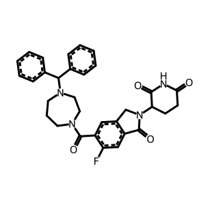 O=C1CCC(N2Cc3cc(C(=O)N4CCCN(C(c5ccccc5)c5ccccc5)CC4)c(F)cc3C2=O)C(=O)N1